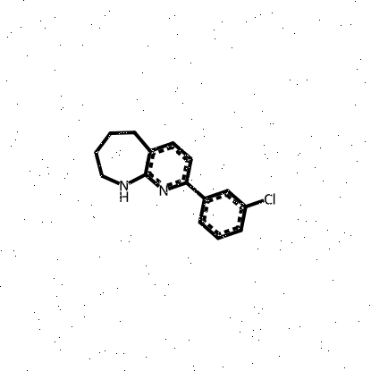 Clc1cccc(-c2ccc3c(n2)NCCCC3)c1